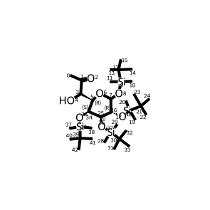 CC(=O)C(O)[C@H]1OC(O[Si](C)(C)C(C)(C)C)[C@H](O[Si](C)(C)C(C)(C)C)[C@@H](O[Si](C)(C)C(C)(C)C)[C@H]1O[Si](C)(C)C(C)(C)C